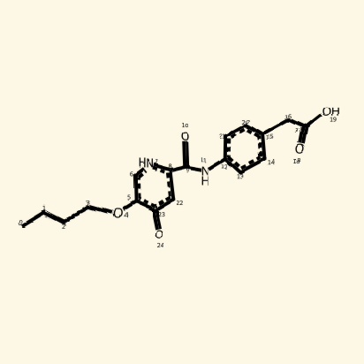 CCCCOc1c[nH]c(C(=O)Nc2ccc(CC(=O)O)cc2)cc1=O